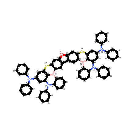 c1ccc(N(c2ccccc2)c2cc3c4c(c2)N(c2ccccc2)c2ccccc2B4c2cc4c(cc2S3)oc2cc3c(cc24)B2c4ccccc4N(c4ccccc4)c4cc(N(c5ccccc5)c5ccccc5)cc(c42)S3)cc1